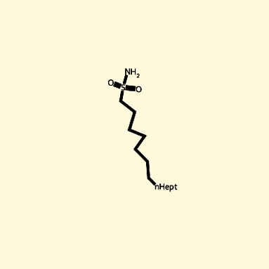 CCCCCCCCCCCCCCS(N)(=O)=O